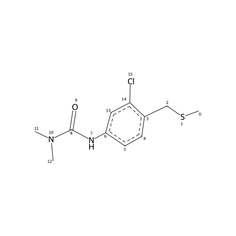 CSCc1ccc(NC(=O)N(C)C)cc1Cl